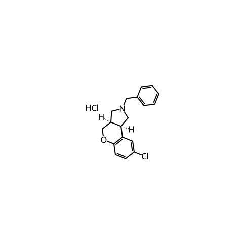 Cl.Clc1ccc2c(c1)[C@@H]1CN(Cc3ccccc3)C[C@@H]1CO2